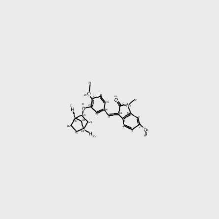 COc1ccc2c(c1)N(C)C(=O)/C2=C\c1ccc(OC)c(O[C@H]2C[C@@H]3CC[C@H]2C3)c1